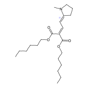 CCCCCCOC(=O)C(=C/C=C1\CCCN1C)C(=O)OCCCCCC